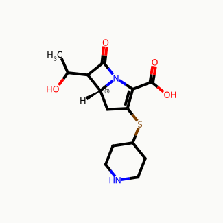 CC(O)C1C(=O)N2C(C(=O)O)=C(SC3CCNCC3)C[C@H]12